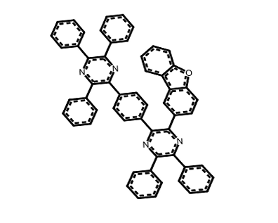 c1ccc(-c2nc(-c3ccccc3)c(-c3ccc(-c4nc(-c5ccccc5)c(-c5ccccc5)nc4-c4ccc5oc6ccccc6c5c4)cc3)nc2-c2ccccc2)cc1